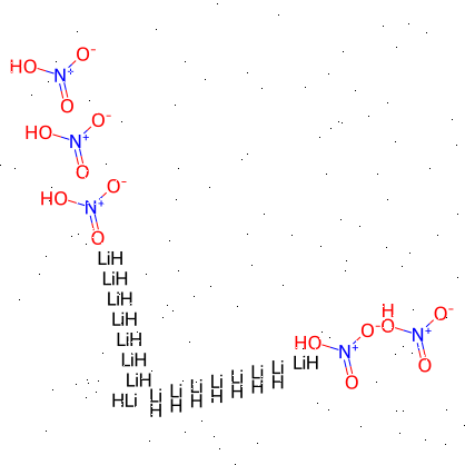 O=[N+]([O-])O.O=[N+]([O-])O.O=[N+]([O-])O.O=[N+]([O-])O.O=[N+]([O-])O.[LiH].[LiH].[LiH].[LiH].[LiH].[LiH].[LiH].[LiH].[LiH].[LiH].[LiH].[LiH].[LiH].[LiH].[LiH].[LiH]